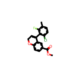 COC(=O)c1ccc2c(c1)C(c1c(Cl)ccc(C)c1F)=CCO2